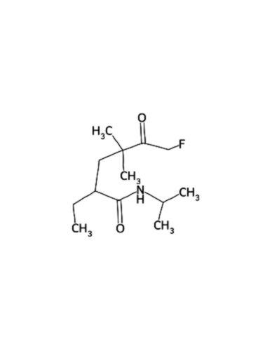 CCC(CC(C)(C)C(=O)CF)C(=O)NC(C)C